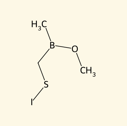 COB(C)CSI